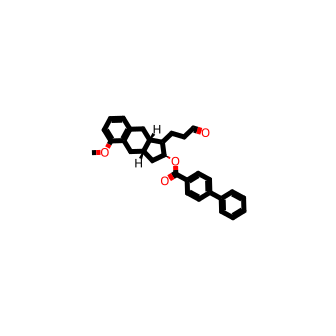 COc1cccc2c1C[C@H]1C[C@@H](OC(=O)c3ccc(-c4ccccc4)cc3)C(CCC=O)[C@H]1C2